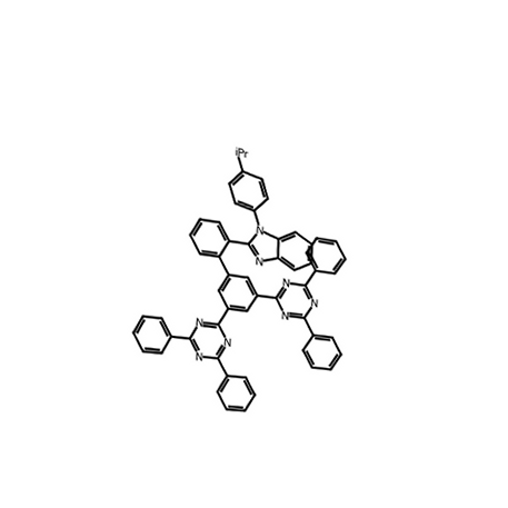 CC(C)c1ccc(-n2c(-c3ccccc3-c3cc(-c4nc(-c5ccccc5)nc(-c5ccccc5)n4)cc(-c4nc(-c5ccccc5)nc(-c5ccccc5)n4)c3)nc3ccccc32)cc1